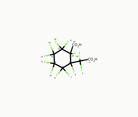 O=C(O)C(F)(F)C1(F)C(F)(F)C(F)(F)C(F)(F)C(F)(F)C1(F)C(=O)O